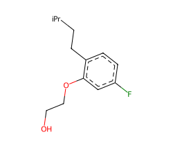 CC(C)CCc1ccc(F)cc1OCCO